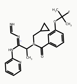 CC(/C(=N/C=N)Nc1ccccn1)N(CC1CC1)C(=O)c1cccc(OC(C)(C)F)c1